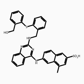 Cc1cc(S(=O)(=O)O)cc2ccc(Nc3nc(NCc4ccccc4Sc4ccccc4CO)nc4ccccc34)cc12